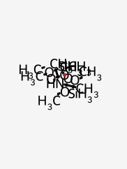 CCOC(C)([SiH3])C(NC(OCC)(OCC)C(C)([SiH3])OCC)(OCC)OCC